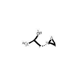 CC(O)C[C@H]1CO1